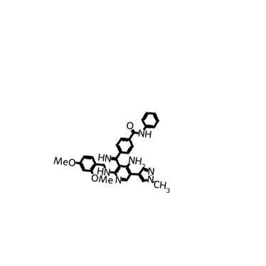 COc1ccc(CNc2ncc(-c3cnn(C)c3)c(N)c2C(=N)c2ccc(C(=O)Nc3ccccc3)cc2)c(OC)c1